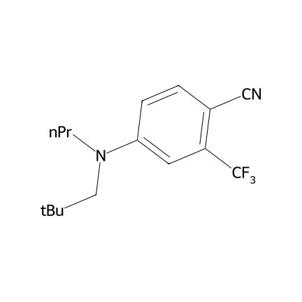 CCCN(CC(C)(C)C)c1ccc(C#N)c(C(F)(F)F)c1